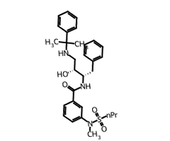 CCCS(=O)(=O)N(C)c1cccc(C(=O)N[C@@H](Cc2ccccc2)[C@H](O)CNC(C)(C)c2ccccc2)c1